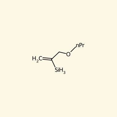 C=C([SiH3])COCCC